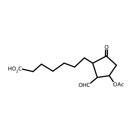 CC(=O)OC1CC(=O)C(CCCCCCC(=O)O)C1C=O